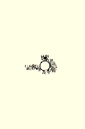 CC[Si](CC)(CC)OC1[C@@H](C)CCC[C@]2(C)[C@H](C[C@@H](C(C)=O)OC(=O)CC(O[Si](CC)(CC)CC)C(C)(C)C(=O)[C@@H]1C)N2CCO[Si](C)(C)C(C)(C)C